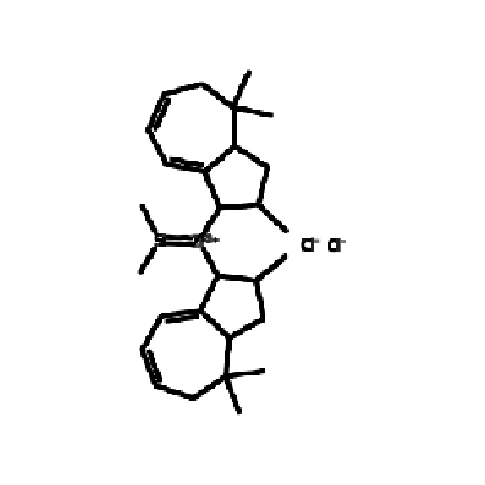 CC1CC2C(=CC=CCC2(C)C)[CH]1[Zr+2]([CH]1C2=CC=CCC(C)(C)C2CC1C)=[Si](C)C.[Cl-].[Cl-]